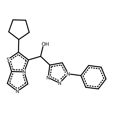 OC(c1cn(-c2ccccc2)nn1)c1c(C2CCCC2)sc2cncn12